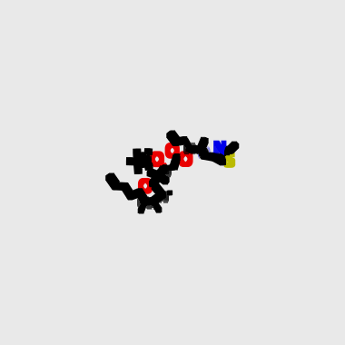 C=CCCC[C@H](C)[C@H](C)[C@@H](C)C(=O)C(C)(C)[C@H](CC(=O)O[C@@H](CC=C)/C(C)=C/c1csc(C)n1)O[Si](C)(C)C(C)(C)C